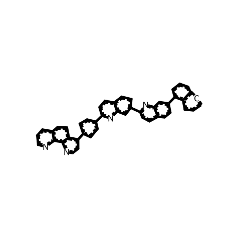 c1ccc2c(-c3ccc4ccc(-c5ccc6ccc(-c7ccc(-c8ccnc9c8ccc8cccnc89)cc7)nc6c5)nc4c3)cccc2c1